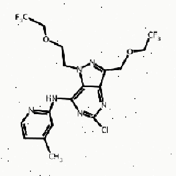 Cc1ccnc(Nc2nc(Cl)nc3c(COCC(F)(F)F)nn(CCOCC(F)(F)F)c23)c1